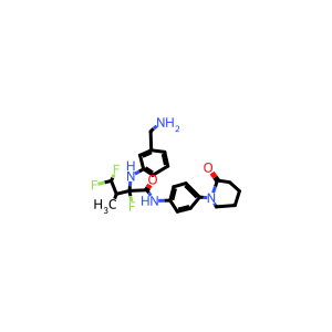 CC(C(F)F)C(F)(Nc1cccc(CN)c1)C(=O)Nc1ccc(N2CCCCC2=O)cc1